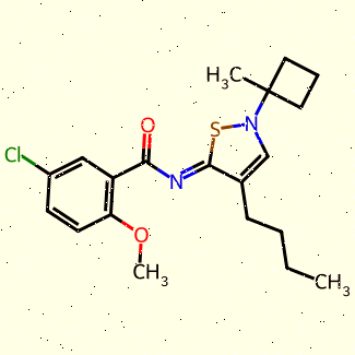 CCCCc1cn(C2(C)CCC2)sc1=NC(=O)c1cc(Cl)ccc1OC